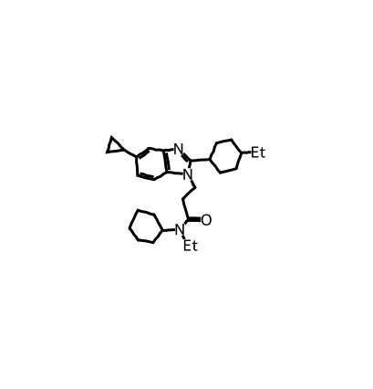 CCC1CCC(c2nc3cc(C4CC4)ccc3n2CCC(=O)N(CC)C2CCCCC2)CC1